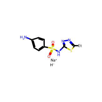 CCc1nnc(NS(=O)(=O)c2ccc(N)cc2)s1.[H-].[Na+]